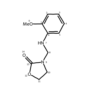 COc1ccccc1NCN1CCOC1=O